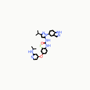 CC(C)Nc1cc(Oc2ccc(NC(=O)Nc3cc(C(C)C)nn3-c3ccc4[nH]ncc4c3)c(F)c2)ccn1